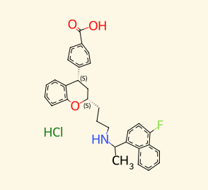 CC(NCCC[C@H]1C[C@@H](c2ccc(C(=O)O)cc2)c2ccccc2O1)c1ccc(F)c2ccccc12.Cl